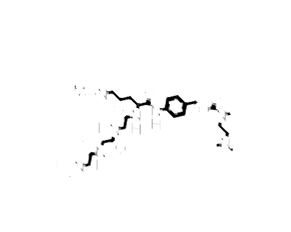 CNCCCC(NC(=O)CNC(=O)CNC(=O)CN)C(=O)Nc1ccc(COC(=O)N(C)CCN(C)C)cc1